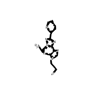 Nc1nc2c(ncn2CC=O)c2nc(-c3ccccn3)nn12